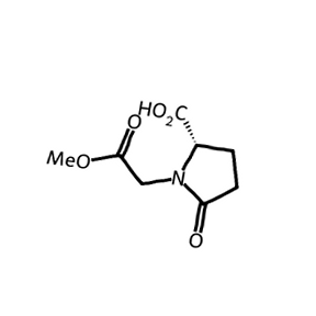 COC(=O)CN1C(=O)CC[C@H]1C(=O)O